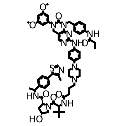 CCC(=O)Nc1ccc(CN2C(=O)N(c3cc(OC)cc(OC)c3)Cc3cnc(Nc4ccc(N5CCN(CCCC(=O)NC(C(=O)N6C[C@H](O)C[C@H]6C(=O)NC(C)c6ccc(-c7scnc7C)cc6)C(C)(C)C)CC5)cc4)nc32)cc1